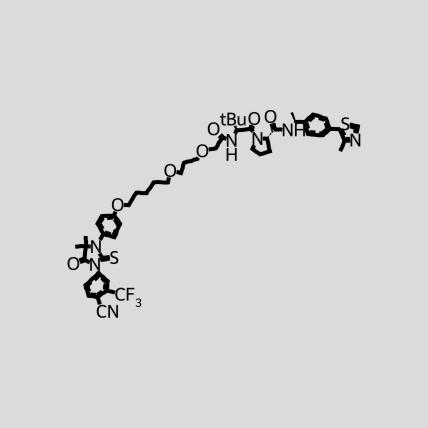 Cc1ncsc1-c1ccc([C@H](C)NC(=O)[C@@H]2CCCN2C(=O)[C@@H](NC(=O)COCCCOCCCCCOc2ccc(N3C(=S)N(c4ccc(C#N)c(C(F)(F)F)c4)C(=O)C3(C)C)cc2)C(C)(C)C)cc1